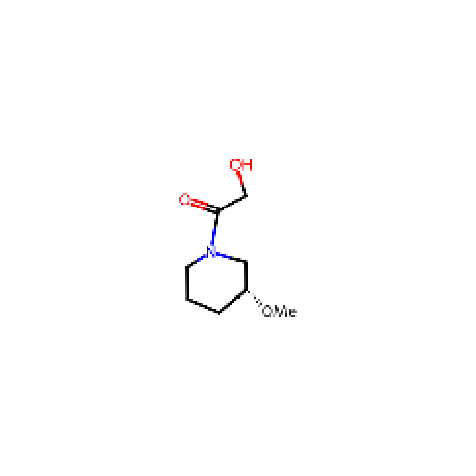 CO[C@@H]1CCCN(C(=O)CO)C1